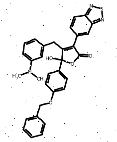 CN(C)c1cccc(CC2=C(c3ccc4nsnc4c3)C(=O)OC2(O)c2ccc(OCc3ccccc3)cc2)c1